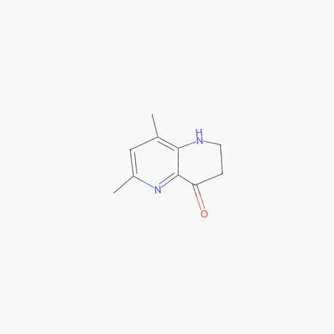 Cc1cc(C)c2c(n1)C(=O)CCN2